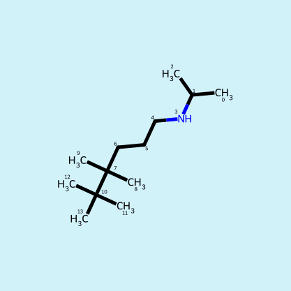 CC(C)NCCCC(C)(C)C(C)(C)C